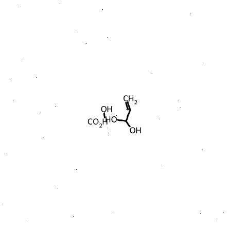 C=CC(O)O.O=C(O)O